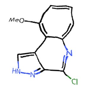 COc1cccc2nc(Cl)c3n[nH]cc3c12